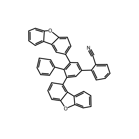 N#Cc1ccccc1-c1cc(-c2ccc3oc4ccccc4c3c2)c(-c2ccccc2)c(-c2cccc3oc4ccccc4c23)c1